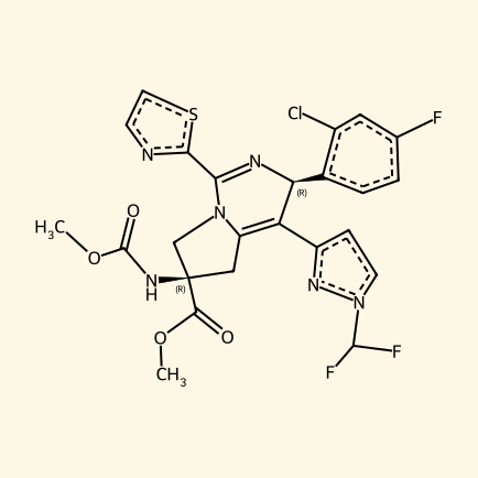 COC(=O)N[C@]1(C(=O)OC)CC2=C(c3ccn(C(F)F)n3)[C@H](c3ccc(F)cc3Cl)N=C(c3nccs3)N2C1